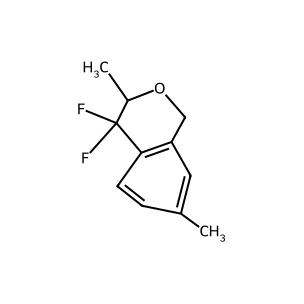 Cc1ccc2c(c1)COC(C)C2(F)F